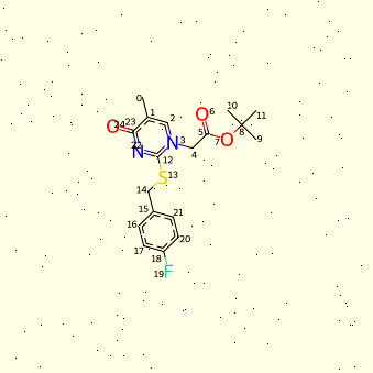 Cc1cn(CC(=O)OC(C)(C)C)c(SCc2ccc(F)cc2)nc1=O